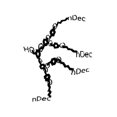 CCCCCCCCCCCCCCCCOc1ccc(COc2ccc(COc3cc(CO)cc(OCc4ccc(OCc5ccc(OCCCCCCCCCCCCCCCC)cc5)c(OCc5ccc(OCCCCCCCCCCCCCCCC)cc5)c4)c3)cc2OCc2ccc(OCCCCCCCCCCCCCCCC)cc2)cc1